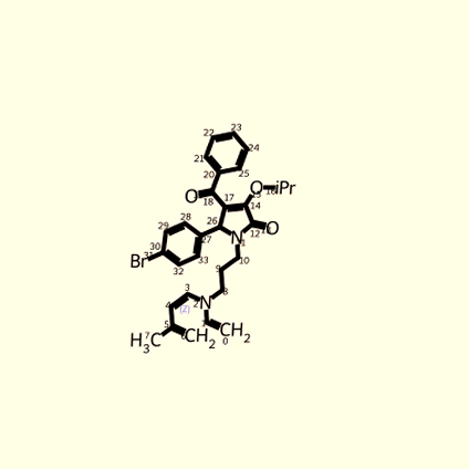 C=CN(/C=C\C(=C)C)CCCN1C(=O)C(OC(C)C)=C(C(=O)c2ccccc2)C1c1ccc(Br)cc1